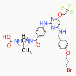 CC(C)(CNC(=O)O)CNC(=O)c1ccc(Nc2nc(NCc3ccc(OCCCBr)cc3)cc(OCC(F)(F)F)n2)cc1